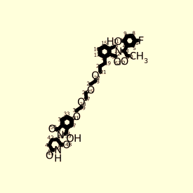 CC(=O)C(c1cc(F)ccc1O)N1Cc2cccc(CCCOCCOCCOCCOc3ccc4c(c3)C(O)N(C3CCC(=O)NC3=O)C4=O)c2C1=O